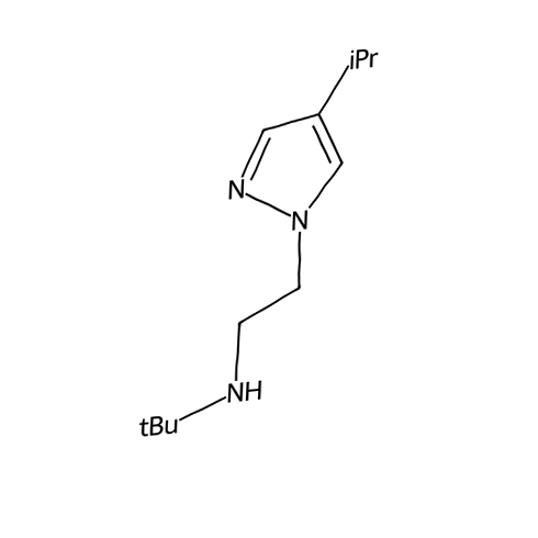 CC(C)c1cnn(CCNC(C)(C)C)c1